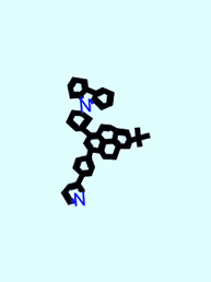 CC(C)(C)c1cc2c3c(ccc4c(C5=CC(n6c7ccccc7c7ccccc76)CC=C5)cc(-c5ccc(-c6cccnc6)cc5)c(c43)CC2)c1